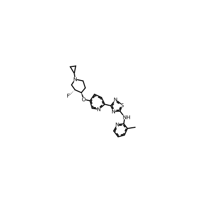 Cc1cccnc1Nc1nc(-c2ccc(O[C@@H]3CCN(C4CC4)C[C@H]3F)cn2)ns1